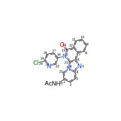 CC(=O)Nc1ccc2nc3c4ccccc4c(=O)n(-c4ccc(Cl)nc4)c3n2c1